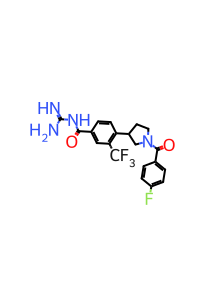 N=C(N)NC(=O)c1ccc(C2CCN(C(=O)c3ccc(F)cc3)C2)c(C(F)(F)F)c1